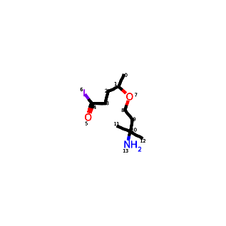 CC(CCC(=O)I)OCCC(C)(C)N